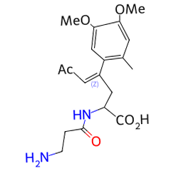 COc1cc(C)c(/C(=C\C(C)=O)CC(NC(=O)CCN)C(=O)O)cc1OC